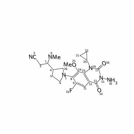 CNC(CC#N)C1CCN(c2c(F)cc3c(=O)n(N)c(=O)n(C4CC4)c3c2OC)C1